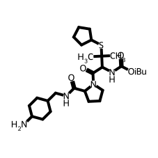 CC(C)COC(=O)NC(C(=O)N1CCCC1C(=O)NCC1CCC(N)CC1)C(C)(C)SC1CCCC1